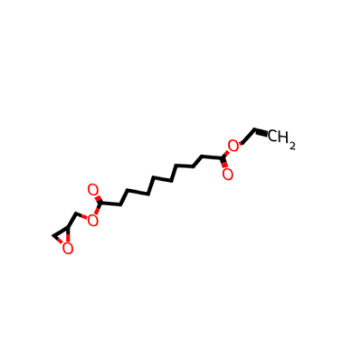 C=CCOC(=O)CCCCCCCCC(=O)OCC1CO1